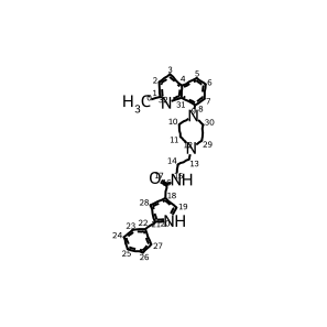 Cc1ccc2cccc(N3CCN(CCNC(=O)c4c[nH]c(-c5ccccc5)c4)CC3)c2n1